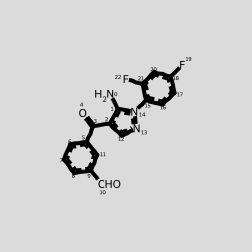 Nc1c(C(=O)c2cccc(C=O)c2)cnn1-c1ccc(F)cc1F